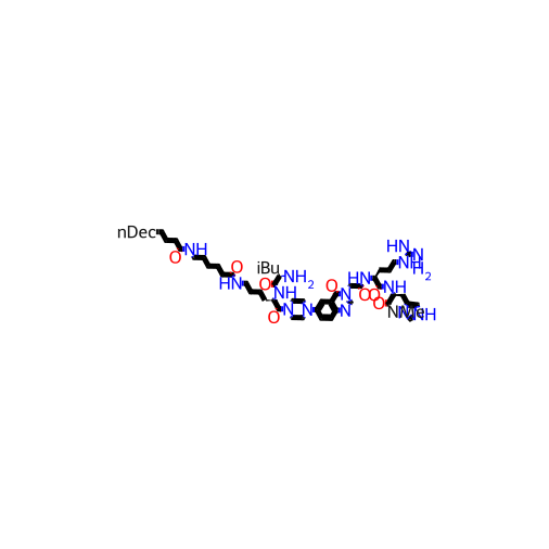 CCCCCCCCCCCCCC(=O)NCCCCCC(=O)NCCCC[C@H](NC(=O)[C@@H](N)[C@@H](C)CC)C(=O)N1CCN(c2ccc3ncn(CC(=O)N[C@@H](CCCNC(=N)N)C(=O)N[C@@H](Cc4c[nH]cn4)C(=O)NC)c(=O)c3c2)CC1